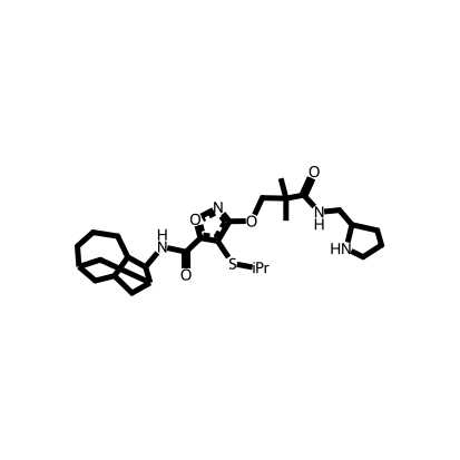 CC(C)Sc1c(OCC(C)(C)C(=O)NCC2CCCN2)noc1C(=O)NC1C2CC3CCCC1C(C3)C2